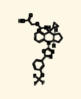 O=C(O)COC(=O)N[C@]1(C2CC2)c2ccccc2N(c2nnc(-c3cccc(OC(F)(F)F)c3)o2)[C@@H]2CCC[C@@H]21